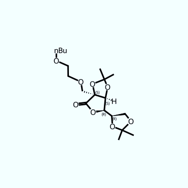 CCCCOCCOC[C@]12OC(C)(C)O[C@H]1[C@@H]([C@H]1COC(C)(C)O1)OC2=O